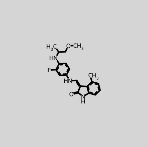 COCC(C)Nc1ccc(NC=C2C(=O)Nc3cccc(C)c32)cc1F